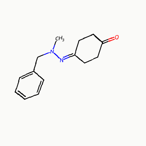 CN(Cc1ccccc1)N=C1CCC(=O)CC1